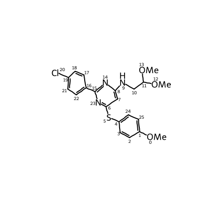 COc1ccc(Sc2cc(NCC(OC)OC)nc(-c3ccc(Cl)cc3)n2)cc1